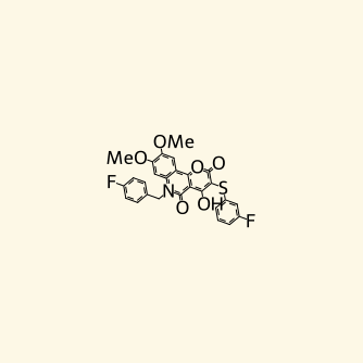 COc1cc2c3oc(=O)c(Sc4cccc(F)c4)c(O)c3c(=O)n(Cc3ccc(F)cc3)c2cc1OC